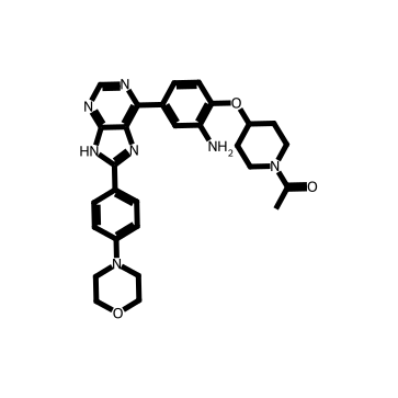 CC(=O)N1CCC(Oc2ccc(-c3ncnc4[nH]c(-c5ccc(N6CCOCC6)cc5)nc34)cc2N)CC1